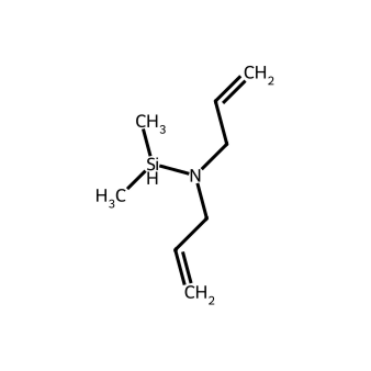 C=CCN(CC=C)[SiH](C)C